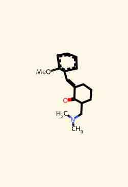 COc1ccccc1/C=C1\CCCC(CN(C)C)C1=O